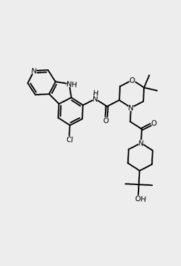 CC1(C)CN(CC(=O)N2CCC(C(C)(C)O)CC2)C(C(=O)Nc2cc(Cl)cc3c2[nH]c2cnccc23)CO1